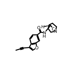 CC#Cc1coc2cc(C(=O)N[C@H]3CN4CCC3CC4)ccc12